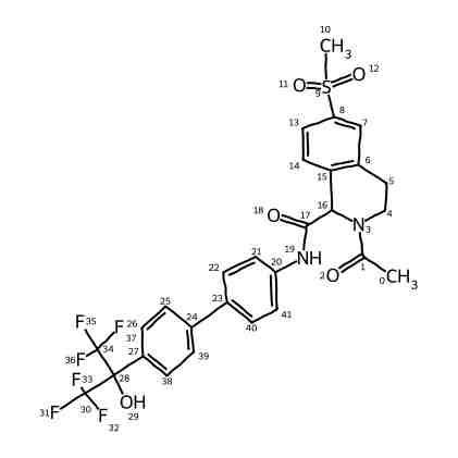 CC(=O)N1CCc2cc(S(C)(=O)=O)ccc2C1C(=O)Nc1ccc(-c2ccc(C(O)(C(F)(F)F)C(F)(F)F)cc2)cc1